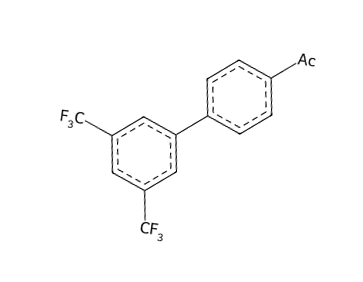 CC(=O)c1ccc(-c2cc(C(F)(F)F)cc(C(F)(F)F)c2)cc1